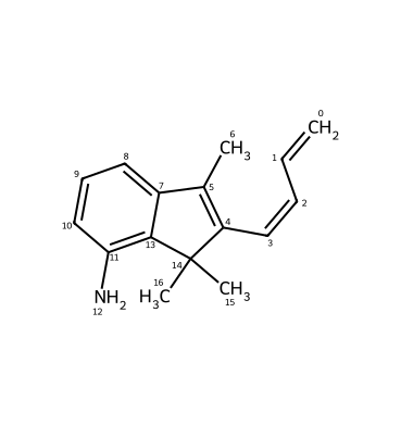 C=C/C=C\C1=C(C)c2cccc(N)c2C1(C)C